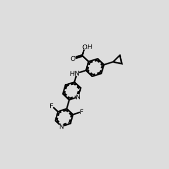 O=C(O)c1cc(C2CC2)ccc1Nc1ccc(-c2c(F)cncc2F)nc1